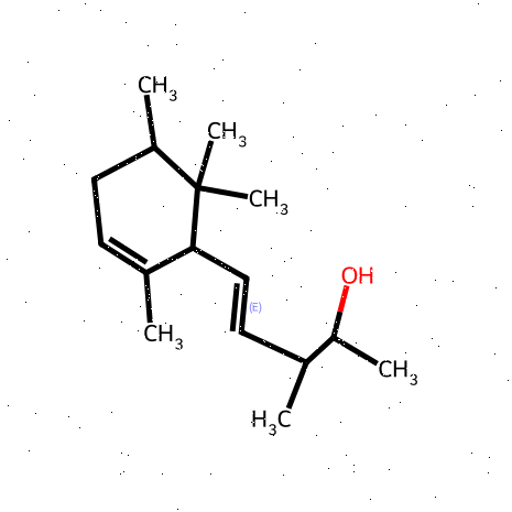 CC1=CCC(C)C(C)(C)C1/C=C/C(C)C(C)O